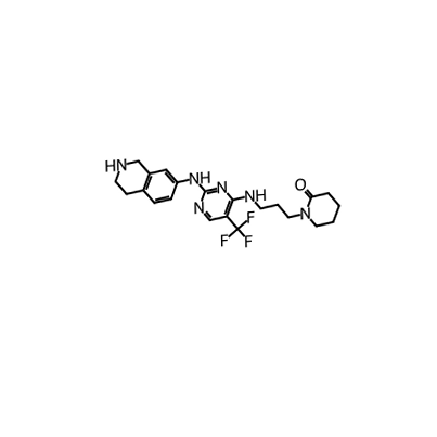 O=C1CCCCN1CCCNc1nc(Nc2ccc3c(c2)CNCC3)ncc1C(F)(F)F